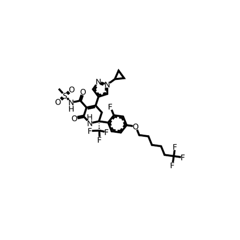 CS(=O)(=O)NC(=O)C1=C(c2cnn(C3CC3)c2)C[C@](c2ccc(OCCCCCC(F)(F)F)cc2F)(C(F)(F)F)NC1=O